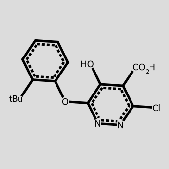 CC(C)(C)c1ccccc1Oc1nnc(Cl)c(C(=O)O)c1O